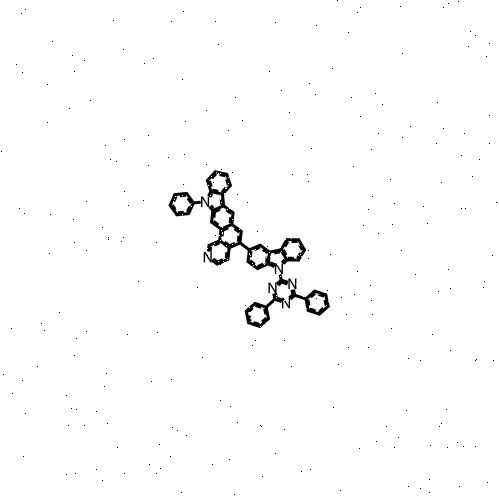 c1ccc(-c2nc(-c3ccccc3)nc(-n3c4ccccc4c4cc(-c5cc6cc7c8ccccc8n(-c8ccccc8)c7cc6c6cnccc56)ccc43)n2)cc1